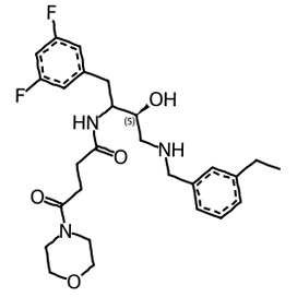 CCc1cccc(CNC[C@H](O)C(Cc2cc(F)cc(F)c2)NC(=O)CCC(=O)N2CCOCC2)c1